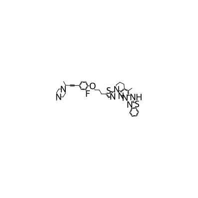 Cc1c(Nc2nc3ccccc3s2)nnc2c1CCCN2c1ncc(CCCOc2ccc(C#CC(C)N3CCN(C)CC3)cc2F)s1